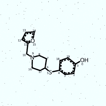 Oc1ccc(SC2CCN(Cc3ccco3)CC2)cc1